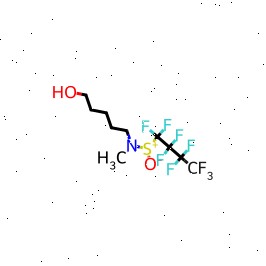 CN(CCCCCO)[S+]([O-])C(F)(F)C(F)(F)C(F)(F)C(F)(F)F